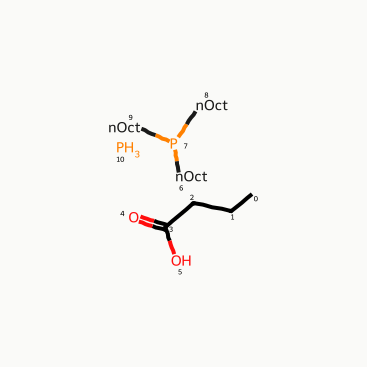 CCCC(=O)O.CCCCCCCCP(CCCCCCCC)CCCCCCCC.P